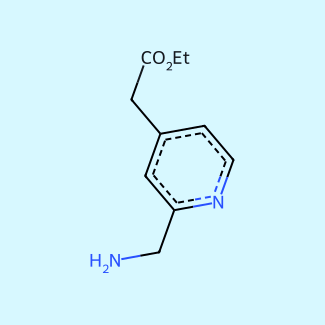 CCOC(=O)Cc1ccnc(CN)c1